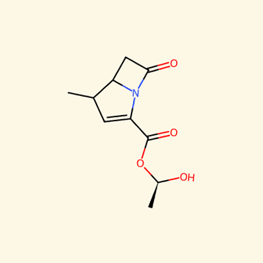 CC1C=C(C(=O)O[C@H](C)O)N2C(=O)CC12